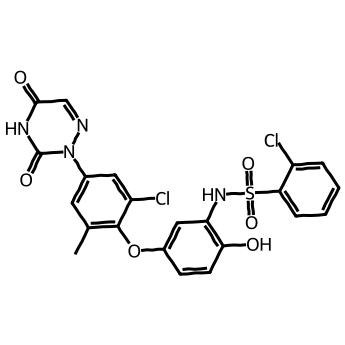 Cc1cc(-n2ncc(=O)[nH]c2=O)cc(Cl)c1Oc1ccc(O)c(NS(=O)(=O)c2ccccc2Cl)c1